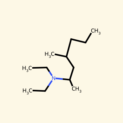 CCCC(C)CC(C)N(CC)CC